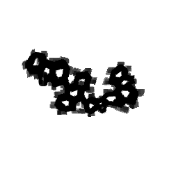 c1ccc2c(c1)oc1cc(-c3c4ccccc4c(-c4ccc5oc6cc7ccc8sc9ccccc9c8c7cc6c5c4)c4ccccc34)ccc12